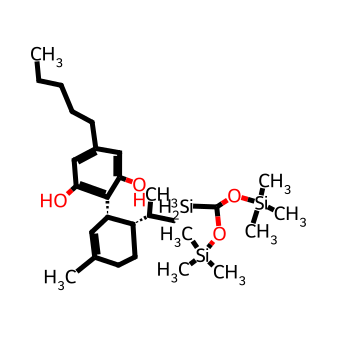 CCCCCc1cc(O)c([C@H]2C=C(C)CC[C@H]2C(C)C[SiH2]C(O[Si](C)(C)C)O[Si](C)(C)C)c(O)c1